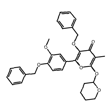 COc1cc(-c2oc(OC3CCCCO3)c(C)c(=O)c2OCc2ccccc2)ccc1OCc1ccccc1